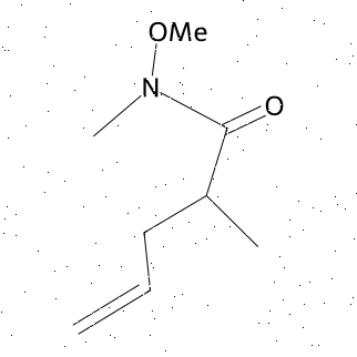 C=CCC(C)C(=O)N(C)OC